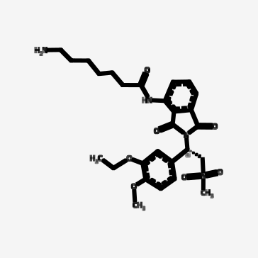 CCOc1cc([C@@H](CS(C)(=O)=O)N2C(=O)c3cccc(NC(=O)CCCCCCN)c3C2=O)ccc1OC